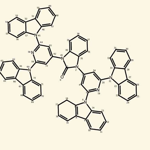 O=c1n(-c2cc(-n3c4c(c5ccccc53)C=CCC4)nc(-n3c4ccccc4c4ccccc43)c2)c2ccccc2n1-c1cc(-n2c3ccccc3c3ccccc32)nc(-n2c3ccccc3c3ccccc32)c1